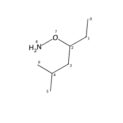 CCC(CC(C)C)ON